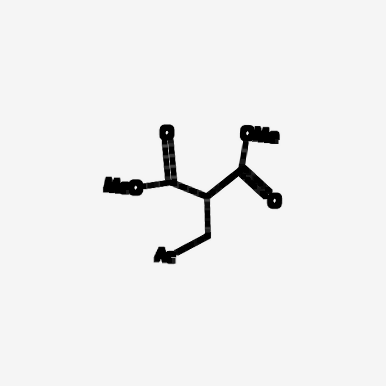 COC(=O)C(CC(C)=O)C(=O)OC